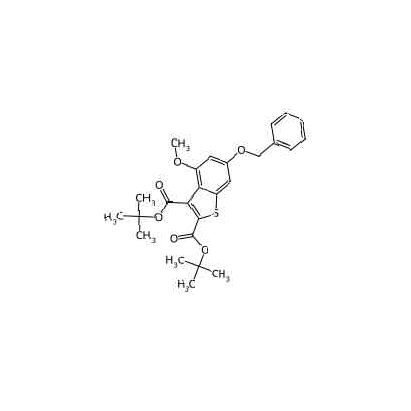 COc1cc(OCc2ccccc2)cc2sc(C(=O)OC(C)(C)C)c(C(=O)OC(C)(C)C)c12